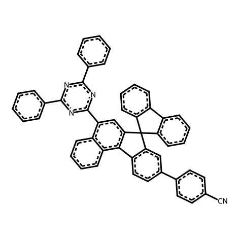 N#Cc1ccc(-c2ccc3c(c2)C2(c4ccccc4-c4ccccc42)c2cc(-c4nc(-c5ccccc5)nc(-c5ccccc5)n4)c4ccccc4c2-3)cc1